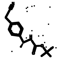 C[C@@H](NC(=O)OC(C)(C)C)c1ccc(CC#N)cc1